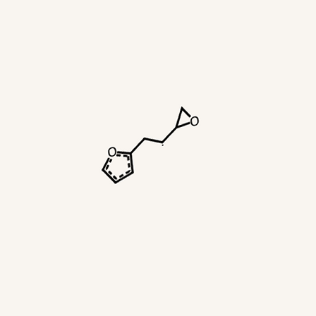 [CH](Cc1ccco1)C1CO1